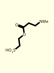 CNCCC(=O)OCCS(=O)(=O)O